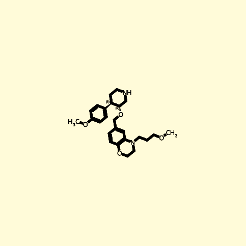 COCCCN1CCOc2ccc(CO[C@H]3CNCC[C@@H]3c3ccc(OC)cc3)cc21